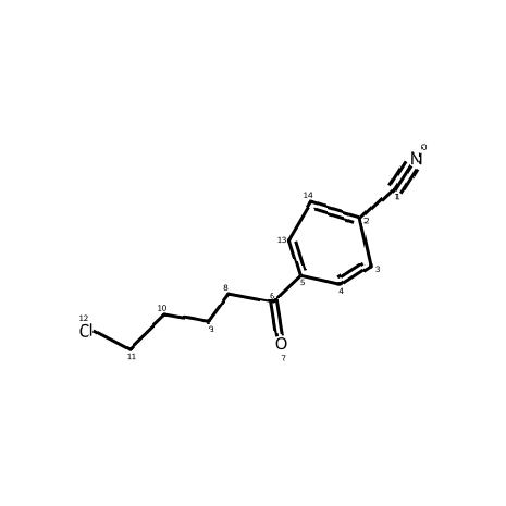 N#Cc1ccc(C(=O)CCCCCl)cc1